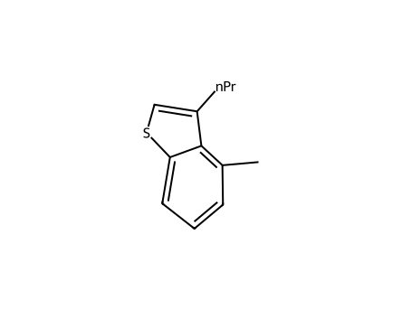 CCCc1csc2cccc(C)c12